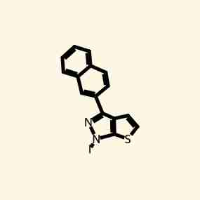 In1nc(-c2ccc3ccccc3c2)c2ccsc21